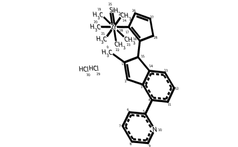 CC1=Cc2c(-c3ccccn3)cccc2C1C1=[C]([Zr]([CH3])([CH3])([CH3])([CH3])([CH3])([CH3])=[SiH2])C=CC1.Cl.Cl